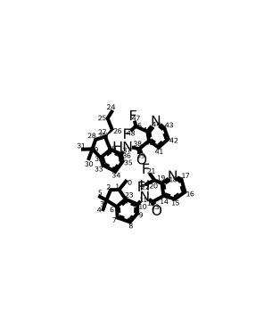 CC1CC(C)(C)c2cccc(NC(=O)c3cccnc3C(F)F)c21.CCC[C@@H]1CC(C)(C)c2cccc(NC(=O)c3cccnc3C(F)F)c21